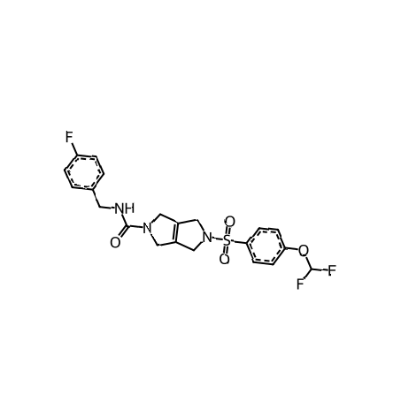 O=C(NCc1ccc(F)cc1)N1CC2=C(C1)CN(S(=O)(=O)c1ccc(OC(F)F)cc1)C2